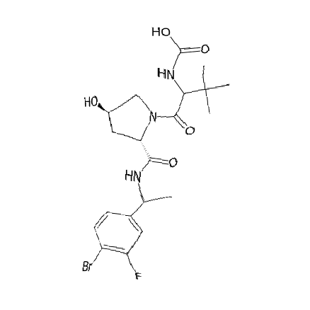 CC(NC(=O)[C@@H]1C[C@@H](O)CN1C(=O)C(NC(=O)O)C(C)(C)C)c1ccc(Br)c(F)c1